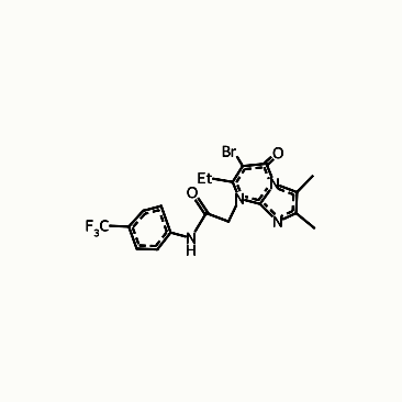 CCc1c(Br)c(=O)n2c(C)c(C)nc2n1CC(=O)Nc1ccc(C(F)(F)F)cc1